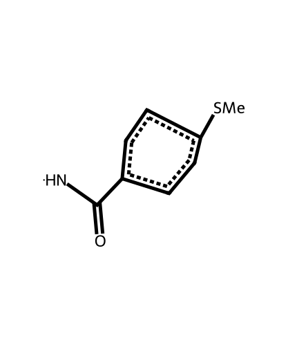 CSc1ccc(C([NH])=O)cc1